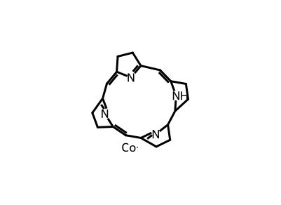 C1=C2/CCC(=N2)/C=C2/CCC(N2)C2CCC(=N2)/C=C2/CCC/1=N2.[Co]